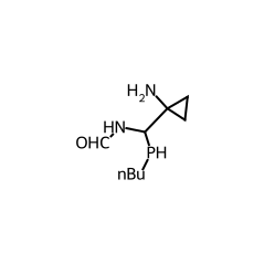 CCCCPC(NC=O)C1(N)CC1